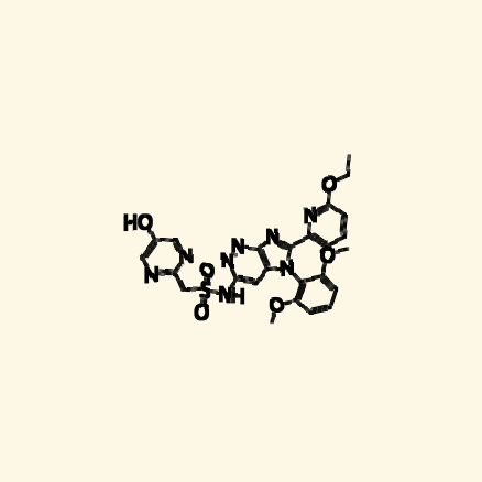 CCOc1cccc(-c2nc3nnc(NS(=O)(=O)Cc4ncc(O)cn4)cc3n2-c2c(OC)cccc2OC)n1